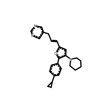 C(=C\c1cc(N2CCCCC2)c(-c2ccc(C3CC3)cc2)o1)/Cc1cncnc1